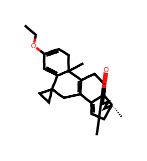 CCOC1=CCC2(C)C(=C1)C1(CC1)CC1=C2CCC23C(=O)CC[C@]2(C)CC=C13